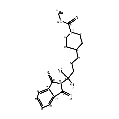 [2H]C([2H])(CCCC1CCN(C(=O)OC(C)(C)C)CC1)N1C(=O)c2ccccc2C1=O